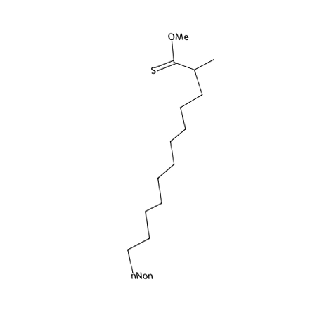 CCCCCCCCCCCCCCCCCCCC(C)C(=S)OC